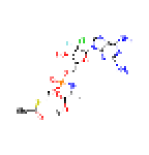 CC(C)OC(=O)[C@@H](C)NP(=O)(OCCSC(=O)C(C)(C)C)OC[C@H]1O[C@@H](n2cnc3c(N)nc(N)nc32)[C@](F)(Cl)[C@@H]1O